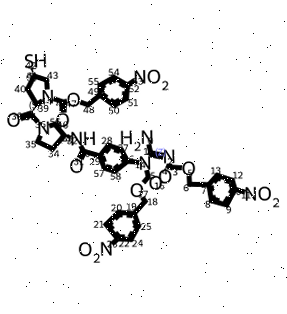 N/C(=N/C(=O)OCc1ccc([N+](=O)[O-])cc1)N(C(=O)OCc1ccc([N+](=O)[O-])cc1)c1ccc(C(=O)N[C@H]2CCN(C(=O)[C@@H]3C[C@H](S)CN3C(=O)OCc3ccc([N+](=O)[O-])cc3)C2)cc1